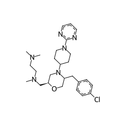 CN(C)CCN(C)C[C@H]1CN(C2CCN(c3ncccn3)CC2)C(Cc2ccc(Cl)cc2)CO1